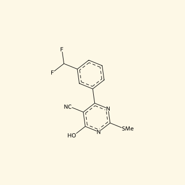 CSc1nc(O)c(C#N)c(-c2cccc(C(F)F)c2)n1